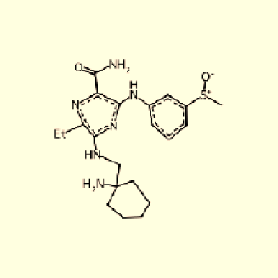 CCc1nc(C(N)=O)c(Nc2cccc([S+](C)[O-])c2)nc1NCC1(N)CCCCC1